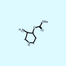 CSC(=O)OC1CCNCC1N